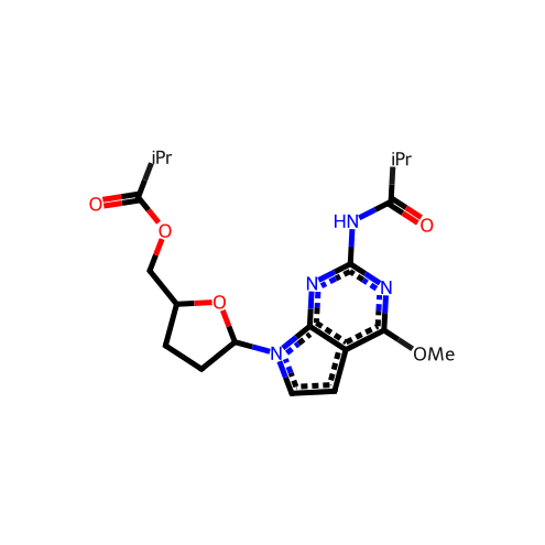 COc1nc(NC(=O)C(C)C)nc2c1ccn2C1CCC(COC(=O)C(C)C)O1